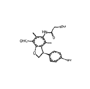 Cc1c(C=O)c2c(c(C)c1NC(=O)CC(C)(C)C)[C@@H](c1ccc(C(C)C)cc1)CO2